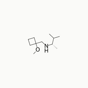 COC1(CN[C@@H](C)C(C)C)CCC1